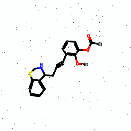 CCOc1c(C#CCC2NCSc3ccccc32)cccc1OC(=O)CC